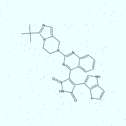 CC(C)(C)c1ncc2n1CCN(c1nc(C3=C(c4c[nH]c5ccsc45)C(=O)NC3=O)c3ccccc3n1)C2